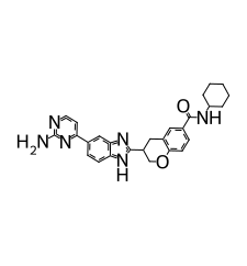 Nc1nccc(-c2ccc3[nH]c(C4COc5ccc(C(=O)NC6CCCCC6)cc5C4)nc3c2)n1